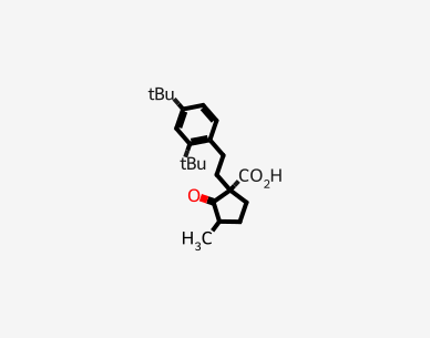 CC1CCC(CCc2ccc(C(C)(C)C)cc2C(C)(C)C)(C(=O)O)C1=O